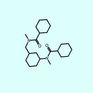 CN(CC1CCCC(N(C)C(=O)C2CCCCC2)C1)C(=O)C1CCCCC1